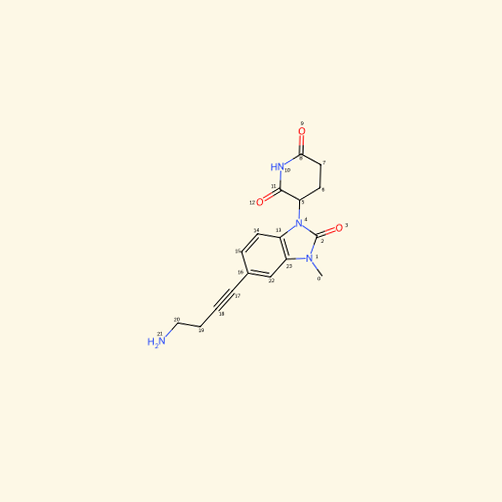 Cn1c(=O)n(C2CCC(=O)NC2=O)c2ccc(C#CCCN)cc21